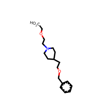 O=C(O)COCCN1CCC(CCOCc2ccccc2)CC1